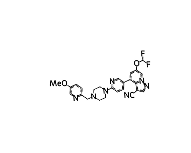 COc1ccc(CN2CCN(c3ccc(-c4cc(OC(F)F)cn5ncc(C#N)c45)cn3)CC2)nc1